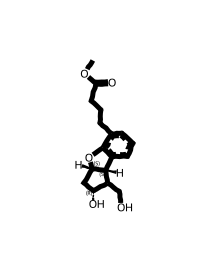 COC(=O)CCCc1cccc2c1O[C@H]1C[C@@H](O)C(CO)[C@@H]21